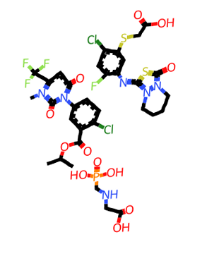 CC(C)OC(=O)c1cc(-n2c(=O)cc(C(F)(F)F)n(C)c2=O)ccc1Cl.O=C(O)CNCP(=O)(O)O.O=C(O)CSc1cc(N=c2sc(=O)n3n2CCCC3)c(F)cc1Cl